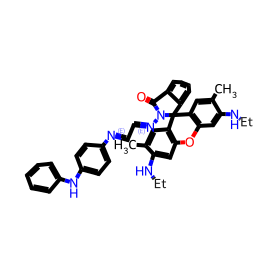 CCNc1cc2c(cc1C)C1(c3cc(C)c(NCC)cc3O2)c2ccccc2C(=O)N1/N=C/C=N/c1ccc(Nc2ccccc2)cc1